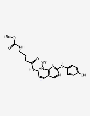 CCCNc1nc(Nc2ccc(C#N)cc2)ncc1/C=C\CNC(=O)CCCNC(=O)OC(C)(C)C